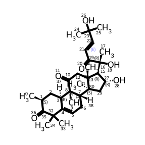 C[C@H]1C[C@@H]2C(=CC[C@@H]3[C@@]2(C)C(=O)C[C@]2(C)[C@@H]([C@@](C)(O)C(=O)/C=C/C(C)(C)O)[C@H](O)C[C@@]32C)C(C)(C)C1=O